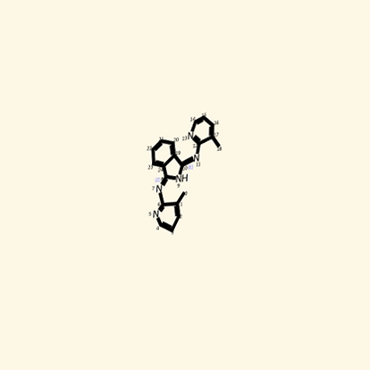 Cc1cccnc1/N=C1\N/C(=N/c2ncccc2C)c2ccccc21